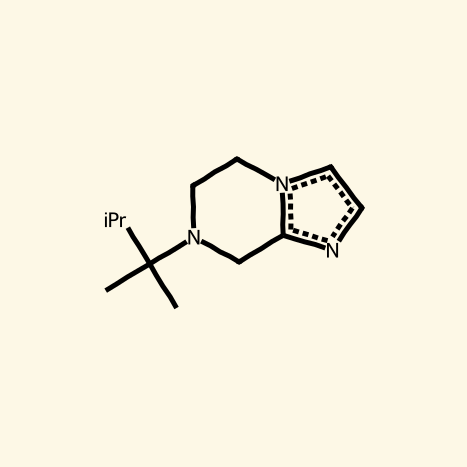 CC(C)C(C)(C)N1CCn2ccnc2C1